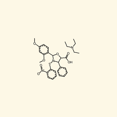 CCN(CC)CC.COc1ccc(C2OC(C(=O)O)C(c3ccccc3)N2Sc2ccccc2[N+](=O)[O-])c(OC)c1